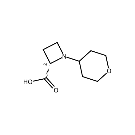 O=C(O)[C@@H]1CCN1C1CCOCC1